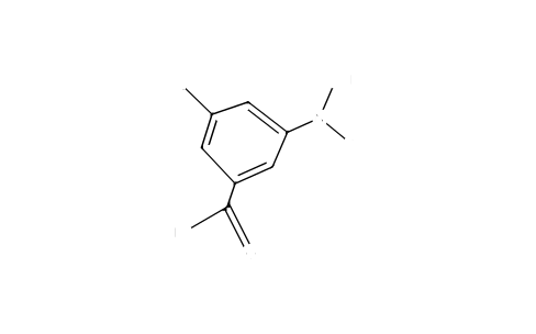 O=C(O)c1cc(I)cc(N(O)O)c1